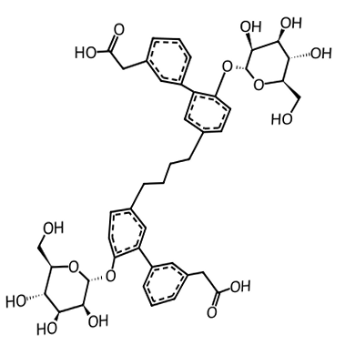 O=C(O)Cc1cccc(-c2cc(CCCCc3ccc(O[C@H]4O[C@H](CO)[C@@H](O)[C@H](O)[C@@H]4O)c(-c4cccc(CC(=O)O)c4)c3)ccc2O[C@H]2O[C@H](CO)[C@@H](O)[C@H](O)[C@@H]2O)c1